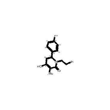 CC(C)CCN1C(=O)C(C(C)(C)C)=C(O)CC1c1ccc(F)cc1